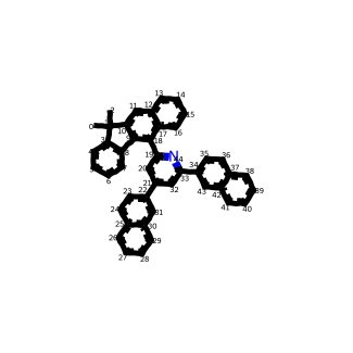 CC1(C)c2ccccc2-c2c1cc1ccccc1c2-c1cc(-c2ccc3ccccc3c2)cc(-c2ccc3ccccc3c2)n1